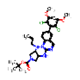 C=CCNC1CN(C(=O)OC(C)(C)C)CC1Nc1ncc2cc(-c3c(Cl)c(OC)cc(OC)c3Cl)ccc2n1